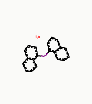 O.c1ccc2c([P]c3cccc4ccccc34)cccc2c1